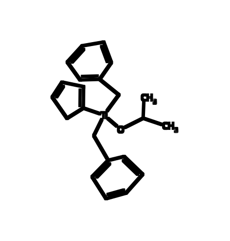 CC(C)[O][Ti]([CH2]c1ccccc1)([CH2]c1ccccc1)[C]1=CC=CC1